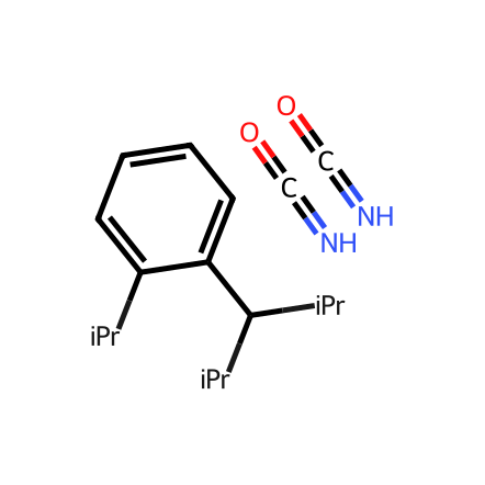 CC(C)c1ccccc1C(C(C)C)C(C)C.N=C=O.N=C=O